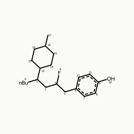 CCCCC(CC(F)Cc1ccc(O)cc1)C1CCC(C)CC1